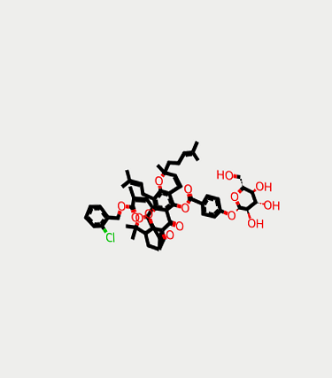 CC(C)=CCCC1(C)C=Cc2c(c(CC=C(C)C)c3c(c2OC(=O)c2ccc(O[C@@H]4O[C@H](CO)[C@@H](O)[C@H](O)[C@H]4O)cc2)C(=O)C2=CC4CC5C(C)(C)OC(C/C=C(/C)C(=O)OCc6ccccc6Cl)(C4=O)C25O3)O1